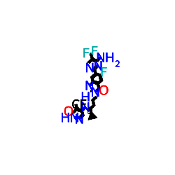 Nc1nc(-c2cc3ncn(CCCC(Nc4cn[nH]c(=O)c4C(F)(F)F)C4CC4)c(=O)c3cc2F)ncc1C(F)F